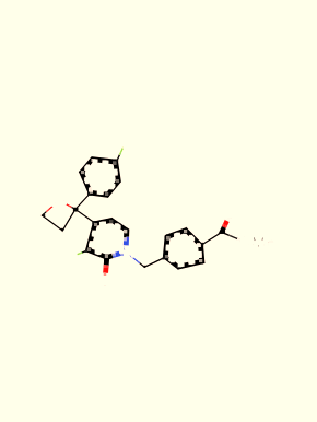 COC(=O)c1ccc(Cn2ccc(C3(c4ccc(F)cc4)CCO3)c(F)c2=O)cc1